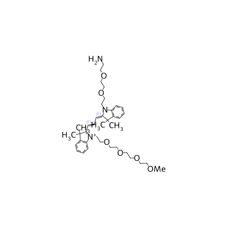 COCCOCCOCCOCC[N+]1=C(/C=C/C=C2/N(CCOCCOCCN)c3ccccc3C2(C)C)C(C)(C)c2ccccc21